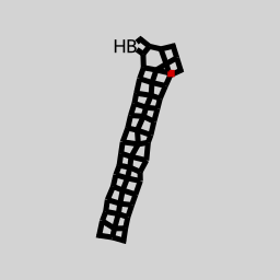 B1CC2C1C1C3C4C5C6C7C8C9C%10C%11C%12C%13C%14C%15CC%16CC%17C%18C%19C%20C%21C%22C%23C%24C%25C%26C%27C%28C%29C%30C%31CC%32CC2C%32%31C1%30C3%29C4%28C5%27C6%26C7%25C8%24C9%23C%10%22C%11%21C%12%20C%13%19C%14%18C%16%15%17